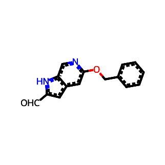 O=Cc1cc2cc(OCc3ccccc3)ncc2[nH]1